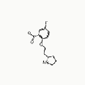 O=[N+]([O-])c1cc(F)ccc1OCCC1CCCN1